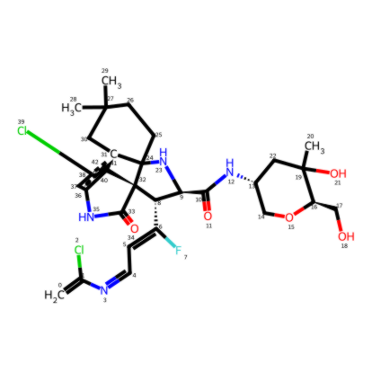 C=C(Cl)/N=C\C=C(/F)[C@H]1[C@H](C(=O)N[C@H]2CO[C@H](CO)C(C)(O)C2)NC2(CCC(C)(C)CC2)[C@@]12C(=O)Nc1cc(Cl)ccc12